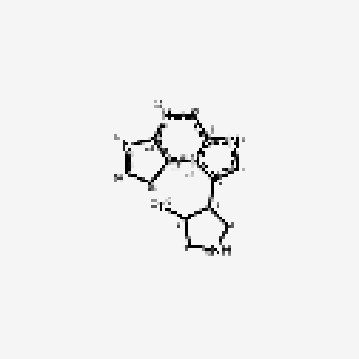 CCC1CNCC1c1cnc2cnc3c(n12)CC=N3